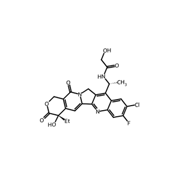 CC[C@@]1(O)C(=O)OCc2c1cc1n(c2=O)Cc2c-1nc1cc(F)c(Cl)cc1c2[C@@H](C)NC(=O)CO